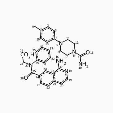 Cc1ccc(N2CCN(C(N)=O)CC2)cc1.Nc1nccc2ccc(C(=O)N(CC(=O)O)c3ccccc3)cc12